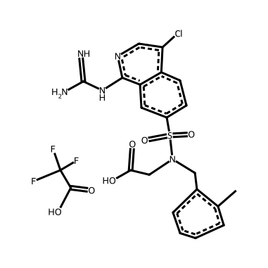 Cc1ccccc1CN(CC(=O)O)S(=O)(=O)c1ccc2c(Cl)cnc(NC(=N)N)c2c1.O=C(O)C(F)(F)F